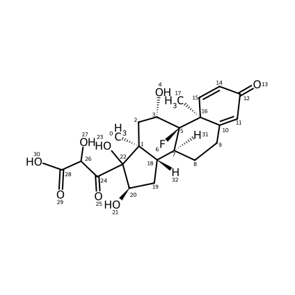 C[C@]12C[C@H](O)[C@@]3(F)[C@@H](CCC4=CC(=O)C=C[C@@]43C)[C@@H]1C[C@@H](O)C2(O)C(=O)C(O)C(=O)O